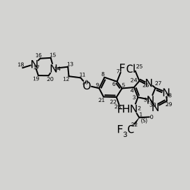 C[C@H](Nc1c(-c2c(F)cc(OCCCN3CCN(C)CC3)cc2F)c(Cl)nc2ncnn12)C(F)(F)F